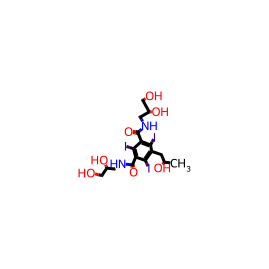 CC(O)Cc1c(I)c(C(=O)NCC(O)CO)c(I)c(C(=O)NCC(O)CO)c1I